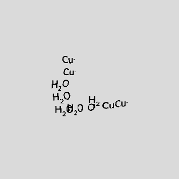 O.O.O.O.O.[Cu].[Cu].[Cu].[Cu]